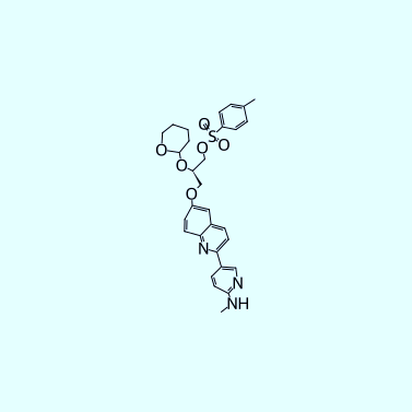 CNc1ccc(-c2ccc3cc(OC[C@H](COS(=O)(=O)c4ccc(C)cc4)OC4CCCCO4)ccc3n2)cn1